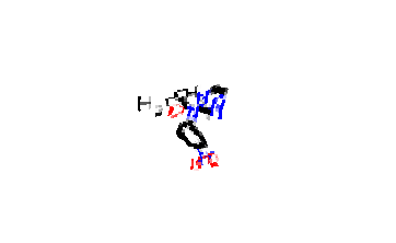 CC(C)(C)C(=O)N(c1ccc([N+](=O)[O-])cc1)c1cnccn1